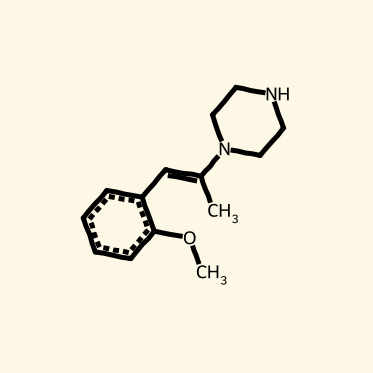 COc1ccccc1C=C(C)N1CCNCC1